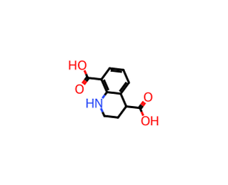 O=C(O)c1cccc2c1NCCC2C(=O)O